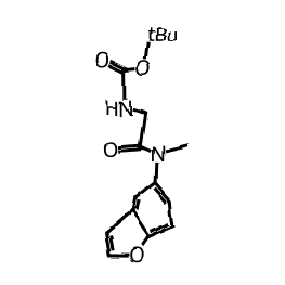 CN(C(=O)CNC(=O)OC(C)(C)C)c1ccc2occc2c1